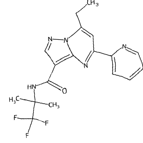 CCc1cc(-c2ccccn2)nc2c(C(=O)NC(C)(C)C(F)(F)F)cnn12